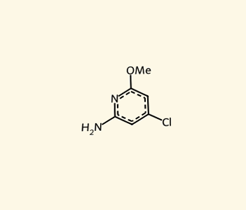 COc1cc(Cl)cc(N)n1